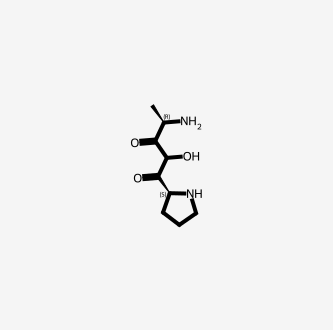 C[C@@H](N)C(=O)C(O)C(=O)[C@@H]1CCCN1